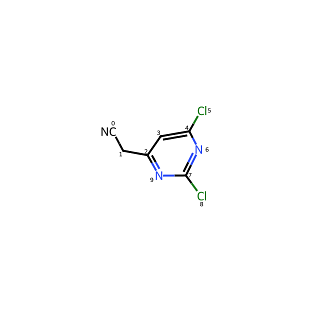 N#CCc1cc(Cl)nc(Cl)n1